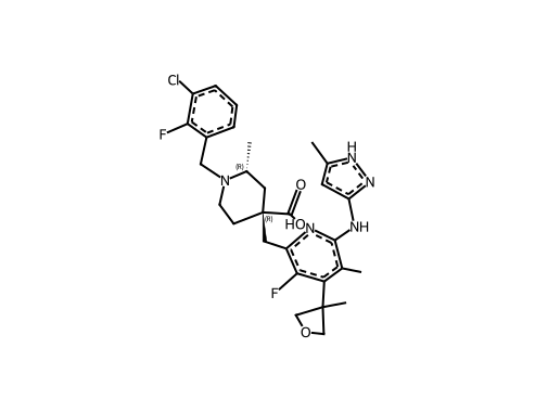 Cc1cc(Nc2nc(C[C@@]3(C(=O)O)CCN(Cc4cccc(Cl)c4F)[C@H](C)C3)c(F)c(C3(C)COC3)c2C)n[nH]1